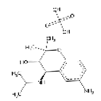 CC(C)N[C@@H]1c2cc(N)ccc2OC(C)(C)[C@H]1O.O=S(=O)(O)O